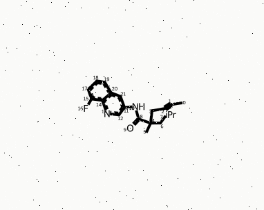 CC#CCC(C)(CC(C)C)C(=O)Nc1cnc2c(F)cccc2c1